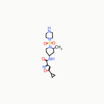 C[C@H]1C[C@@H](NC(=O)c2cc(C3CC3)on2)CCN1S(=O)(=O)N1CCNCC1